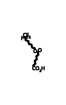 O=C(O)CCCCCCC(=O)OCCCCCCC(F)(F)C(F)(F)F